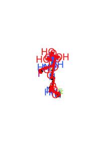 C[C@H]1CC(F)(F)CN1C(=O)CNC(=O)c1ccnc2ccc(OCCCCC3CCN(C(=O)CCCCCNC(=O)C(CSCCNC(=O)CCCc4ccc(I)cc4)NC(=O)CN4CCN(CC(=O)O)CCN(CC(=O)O)CCN(CC(=O)O)CC4)CC3)cc12